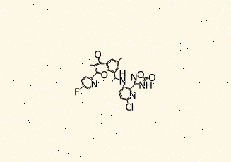 Cc1cc(C(C)Nc2ccc(Cl)nc2-c2noc(=O)[nH]2)c2oc(-c3ccc(F)cn3)c(C)c(=O)c2c1